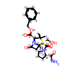 CC1(C)[C@H](C(=O)OCc2ccccc2)N2C(=O)C[C@H]2[S@@]1(CO)C(=O)N1CCC[C@H]1C(N)=O